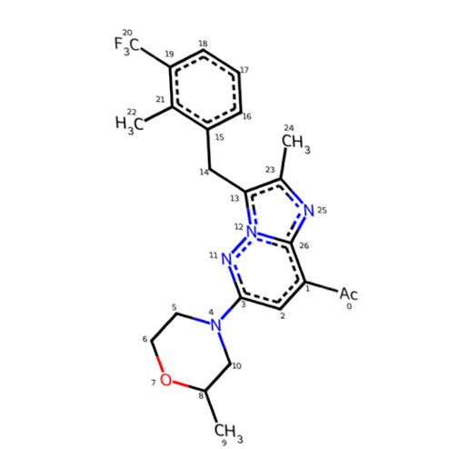 CC(=O)c1cc(N2CCOC(C)C2)nn2c(Cc3cccc(C(F)(F)F)c3C)c(C)nc12